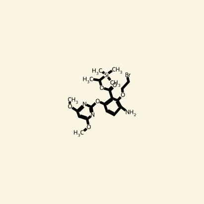 COc1cc(OC)nc(Oc2ccc(N)c(OCCBr)c2C(=O)OC(C)[Si](C)(C)C)n1